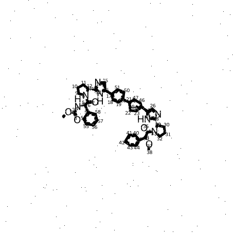 COC(=O)N[C@@H](C(=O)N1CCC[C@H]1c1ncc(-c2ccc(C34CCC(c5cnc([C@@H]6CCCN6C(=O)[C@H](OC)c6ccccc6)[nH]5)(CC3)CC4)cc2)[nH]1)c1ccccc1